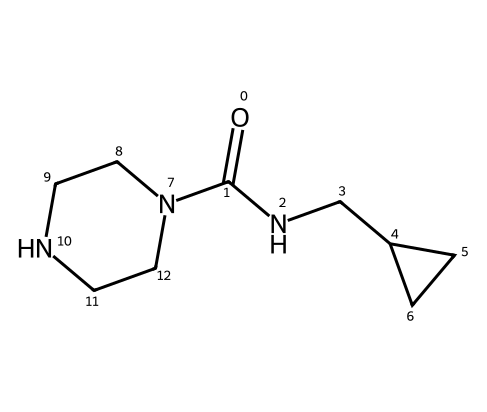 O=C(NCC1CC1)N1CCNCC1